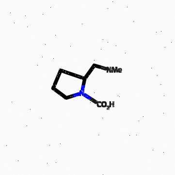 CNCC1CCCN1C(=O)O